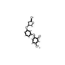 O=C1CC(Oc2cccc(Oc3ccc(C(F)(F)F)cc3Cl)c2)CO1